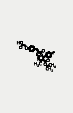 CC1=C(C(=O)OC(C)C)C(c2ccc(F)cc2)n2c(s/c(=C\c3ccc(OCC(=O)O)cc3)c2=O)=N1